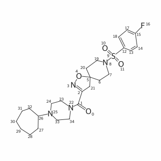 O=C(C1=NOC2(CCN(S(=O)(=O)c3ccc(F)cc3)CC2)C1)N1CCN(C2CCCCCC2)CC1